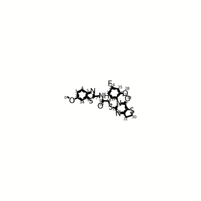 COc1ccc2nc(NC(=O)CSc3nc4c(c(=O)n3-c3ccc(F)cc3OC)SCC4)sc2c1